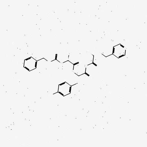 CC[C@H](C)[C@H](NCc1ccncc1)C(=O)NC(=O)[C@H](Cc1ccc(O)cc1)NC(=O)[C@@H](NC(=O)OCc1ccccc1)C(C)C.Cl